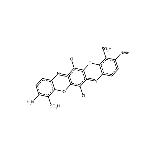 CNc1ccc2c(c1S(=O)(=O)O)Oc1c(Cl)c3c(c(Cl)c1=N2)Oc1c(ccc(N)c1S(=O)(=O)O)N=3